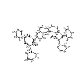 C1=CCC(C2Nc3c(ccc4ccc5cc(C6N=C(c7ccccc7)N=C(c7ccccc7)N6)ccc5c34)N2c2ccccc2)C=C1